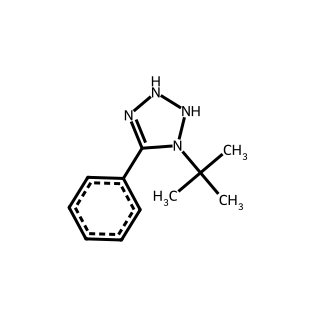 CC(C)(C)N1NNN=C1c1ccccc1